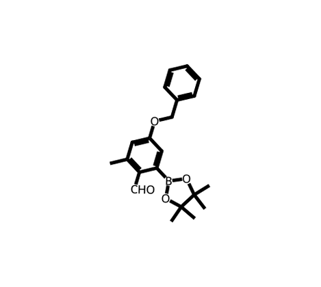 Cc1cc(OCc2ccccc2)cc(B2OC(C)(C)C(C)(C)O2)c1C=O